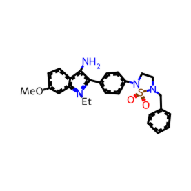 CCn1c(-c2ccc(N3CCN(Cc4ccccc4)S3(=O)=O)cc2)c(N)c2ccc(OC)cc21